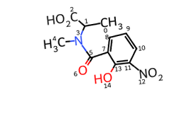 CC(C(=O)O)N(C)C(=O)c1cccc([N+](=O)[O-])c1O